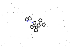 c1ccc(-c2cc3c(cc2-c2ccccc2)C(c2ccccc2)(c2cccc(Nc4cccc5ccccc45)c2)c2ccccc2-3)cc1